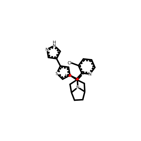 O=C(c1csc(-c2cn[nH]c2)c1)N1C2CCC1CC(O)(c1ncccc1Cl)C2